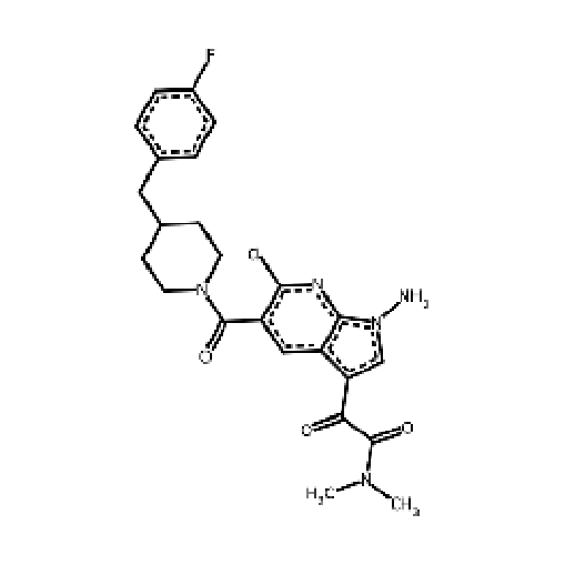 CN(C)C(=O)C(=O)c1cn(N)c2nc(Cl)c(C(=O)N3CCC(Cc4ccc(F)cc4)CC3)cc12